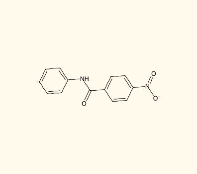 O=C(Nc1cc[c]cc1)c1ccc([N+](=O)[O-])cc1